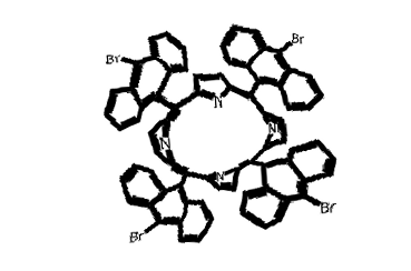 Brc1c2ccccc2c(-c2c3nc(c(-c4c5ccccc5c(Br)c5ccccc45)c4ccc([nH]4)c(-c4c5ccccc5c(Br)c5ccccc45)c4nc(c(-c5c6ccccc6c(Br)c6ccccc56)c5ccc2[nH]5)C=C4)C=C3)c2ccccc12